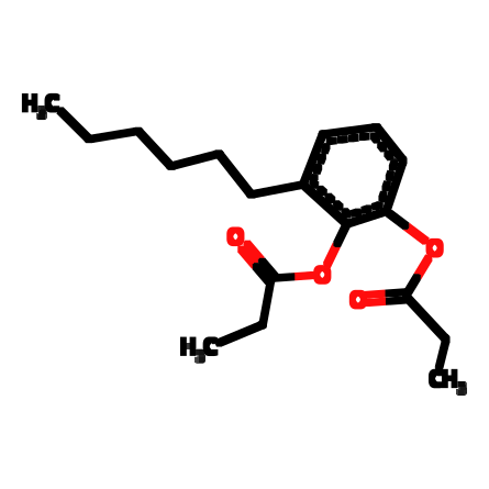 CCCCCCc1cccc(OC(=O)CC)c1OC(=O)CC